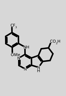 COc1ccc(C(F)(F)F)cc1Nc1ncnc2[nH]c3c(c12)CC(C(=O)O)CC3